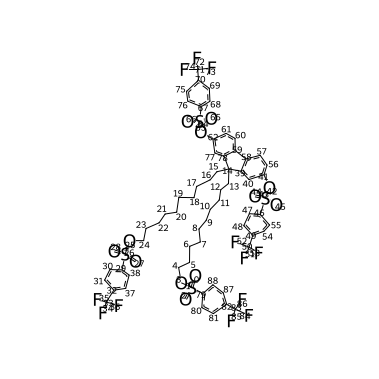 O=S(=O)(OCCCCCCCCCCC1(CCCCCCCCCCOS(=O)(=O)c2ccc(C(F)(F)F)cc2)c2cc(OS(=O)(=O)c3ccc(C(F)(F)F)cc3)ccc2-c2ccc(OS(=O)(=O)c3ccc(C(F)(F)F)cc3)cc21)c1ccc(C(F)(F)F)cc1